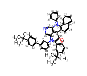 CC(C)(C)c1ccc(-c2cccc(N3c4cncc5c4B(c4ccc6ccccc6c4N5c4ccccc4)c4oc5ccc(C(C)(C)C)cc5c43)c2)cc1